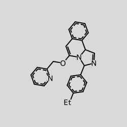 CCc1ccc(C2N=CC3c4ccccc4C=C(OCc4ccccn4)N32)cc1